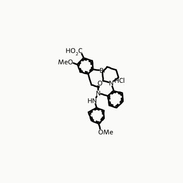 COc1ccc(NN(C(=O)Cc2cc(OC)c(C(=O)O)cc2Br)c2ccccc2N2CCCCC2)cc1.Cl